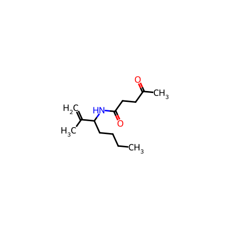 C=C(C)C(CCCC)NC(=O)CCC(C)=O